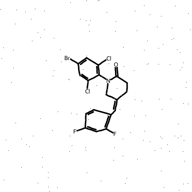 O=C1CCC(=Cc2ccc(F)cc2F)CN1c1c(Cl)cc(Br)cc1Cl